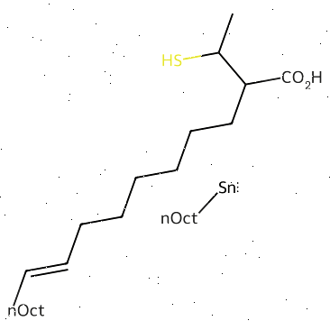 CCCCCCCCC=CCCCCCCC(C(=O)O)C(C)S.CCCCCCC[CH2][Sn]